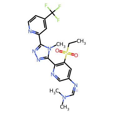 CCS(=O)(=O)c1cc(/N=C\N(C)C)cnc1-c1nnc(-c2cc(C(F)(F)F)ccn2)n1C